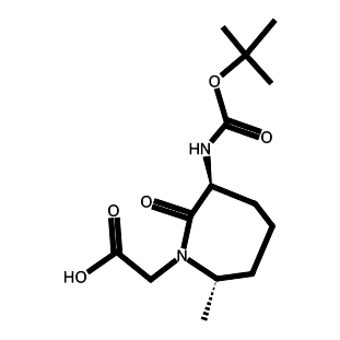 C[C@H]1CCC[C@H](NC(=O)OC(C)(C)C)C(=O)N1CC(=O)O